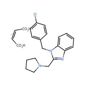 Clc1ccc(Cn2c(CN3CCCC3)nc3ccccc32)cc1.O=C(O)/C=C\C(=O)O